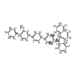 Fc1cc(-c2ccc(-c3cnc(-n4c5ccccc5c5ccc6ccccc6c54)nc3)cc2)ccc1-c1ccccc1